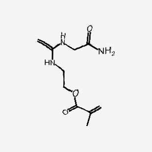 C=C(NCCOC(=O)C(=C)C)NCC(N)=O